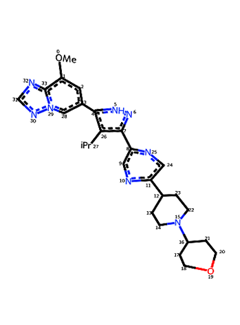 COc1cc(-c2[nH]nc(-c3cnc(C4CCN(C5CCOCC5)CC4)cn3)c2C(C)C)cn2ncnc12